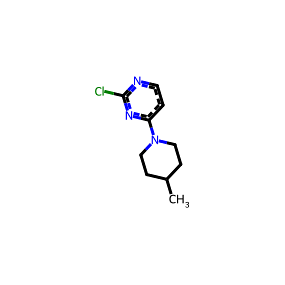 CC1CCN(c2ccnc(Cl)n2)CC1